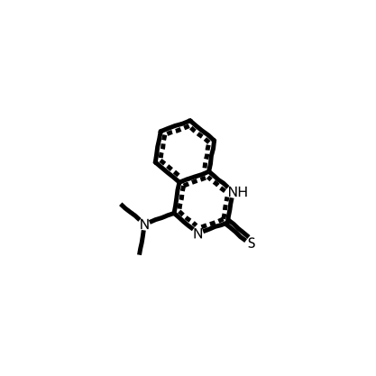 CN(C)c1nc(=S)[nH]c2ccccc12